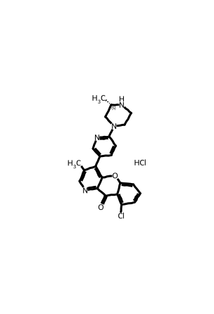 Cc1cnc2c(=O)c3c(Cl)cccc3oc2c1-c1ccc(N2CCN[C@@H](C)C2)nc1.Cl